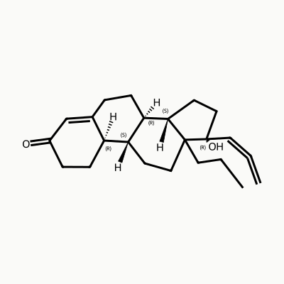 C=C=C[C@]1(O)CC[C@H]2[C@@H]3CCC4=CC(=O)CC[C@@H]4[C@H]3CCC21CCC